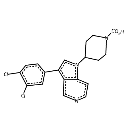 O=C(O)N1CCC(n2cc(-c3ccc(Cl)c(Cl)c3)c3cnccc32)CC1